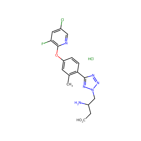 Cc1cc(Oc2ncc(Cl)cc2F)ccc1-c1nnn(CC(N)CC(=O)O)n1.Cl